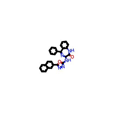 O=C1Nc2ccccc2C(c2ccccc2)=NC1Nc1nnc(-c2ccc3ccccc3c2)o1